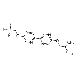 CC(C)COc1cnc(-c2[c]nc(OCC(F)(F)F)cn2)cn1